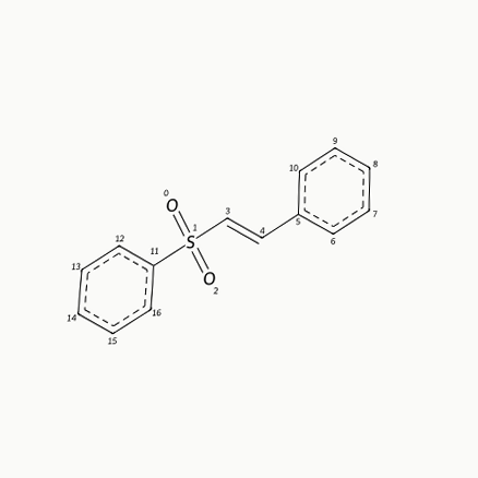 O=S(=O)(C=Cc1ccccc1)c1ccccc1